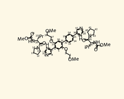 COCCOc1cc(-c2cnc([C@@H]3CCCN3C(=O)[C@@H](NC(=O)OC)C(C)C)[nH]2)c(OCCOC)cc1-c1ccc(-c2cnc([C@@H]3CCCN3C(=O)[C@@H](NC(=O)OC)C(C)C)[nH]2)cc1